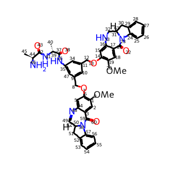 COc1cc2c(cc1OCc1cc(COc3cc4c(cc3OC)C(=O)N3c5ccccc5C[C@H]3CN4)cc(NC(=O)[C@@H](C)NC(=O)[C@H](C)N)c1)N=C[C@@H]1Cc3ccccc3N1C2=O